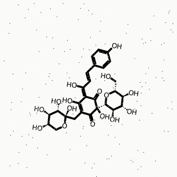 O=C1C(C[C@]2(O)OC[C@@H](O)[C@@H](O)[C@@H]2O)=C(O)/C(=C(O)/C=C/c2ccc(O)cc2)C(=O)C1(O)[C@@H]1O[C@H](CO)[C@@H](O)[C@H](O)[C@H]1O